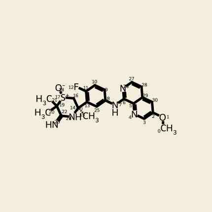 COc1cnc2c(Nc3ccc(F)c([C@]4(C)C[S+]([O-])C(C)(C)C(=N)N4)c3)nccc2c1